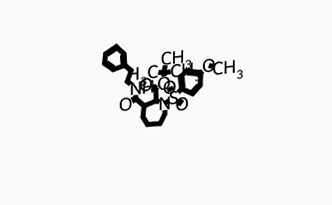 COc1ccc(S(=O)(=O)N2CCCCC(C(=O)NCCc3ccccc3)C2C(=O)OC(C)(C)C)cc1